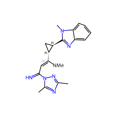 CN/C(=C\C(=N)n1nc(C)nc1C)[C@@H]1C[C@H]1c1nc2ccccc2n1C